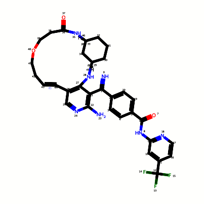 N=C(c1ccc(C(=O)Nc2cc(C(F)(F)F)ccn2)cc1)c1c(N)ncc2c1N[C@@H]1CCC[C@H](C1)NC(=O)CCOCC/C=C/2